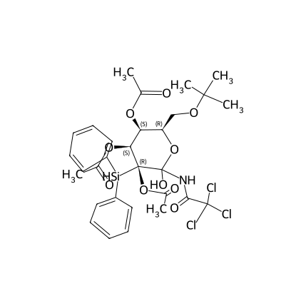 CC(=O)O[C@H]1[C@@H](COC(C)(C)C)OC(O)(NC(=O)C(Cl)(Cl)Cl)[C@](OC(C)=O)([SiH](c2ccccc2)c2ccccc2)[C@H]1OC(C)=O